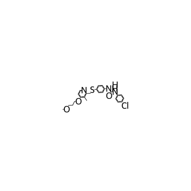 COCCCOc1ccnc(CSc2ccc(NC(=O)Nc3ccc(Cl)cc3)cc2)c1C